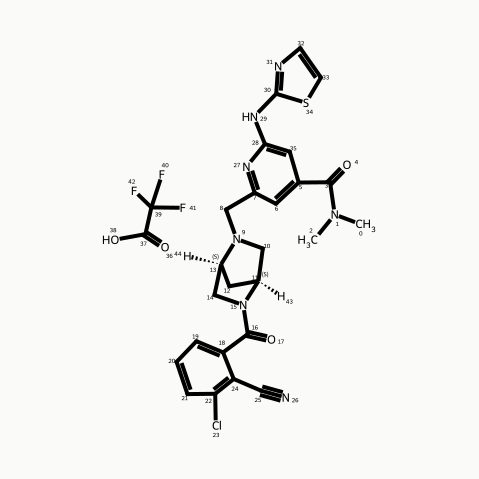 CN(C)C(=O)c1cc(CN2C[C@@H]3C[C@H]2CN3C(=O)c2cccc(Cl)c2C#N)nc(Nc2nccs2)c1.O=C(O)C(F)(F)F